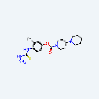 CCc1cc(OC(=O)N2CCC(N3CCCCC3)CC2)ccc1NC(=S)NN